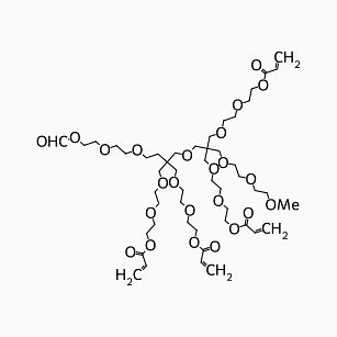 C=CC(=O)OCCOCCOCC(CCOCCOCCOC=O)(COCCOCCOC(=O)C=C)COCC(COCCOCCOC)(COCCOCCOC(=O)C=C)COCCOCCOC(=O)C=C